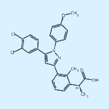 COc1ccc(-n2nc(-c3cccc([C@H](C)C(=O)O)c3C)cc2-c2ccc(Cl)c(Cl)c2)cc1